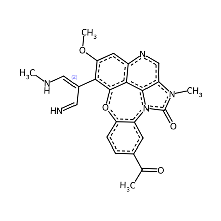 CN/C=C(\C=N)c1c(OC)cc2ncc3c4c2c1oc1ccc(C(C)=O)cc1n4c(=O)n3C